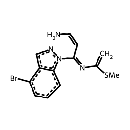 C=C(/N=C(\C=C/N)n1ncc2c(Br)cccc21)SC